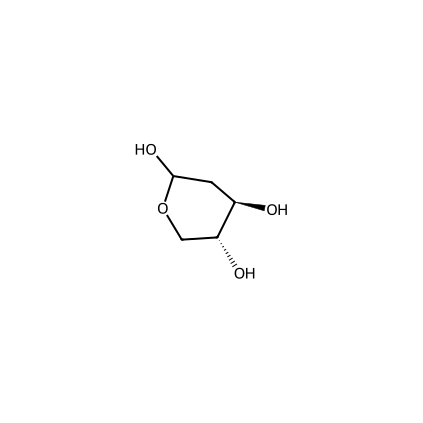 OC1C[C@@H](O)[C@H](O)CO1